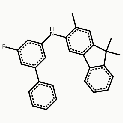 Cc1cc2c(cc1Nc1cc(F)cc(-c3ccccc3)c1)-c1ccccc1C2(C)C